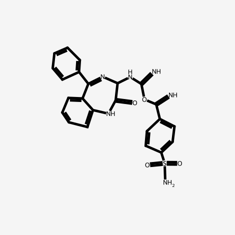 N=C(NC1N=C(c2ccccc2)c2ccccc2NC1=O)OC(=N)c1ccc(S(N)(=O)=O)cc1